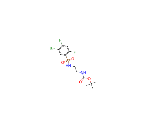 CC(C)(C)OC(=O)NCCNS(=O)(=O)c1cc(Br)c(F)cc1F